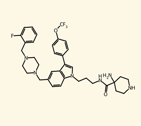 NC1(C(=O)NCCCn2cc(-c3ccc(OC(F)(F)F)cc3)c3cc(CN4CCN(Cc5ccccc5F)CC4)ccc32)CCNCC1